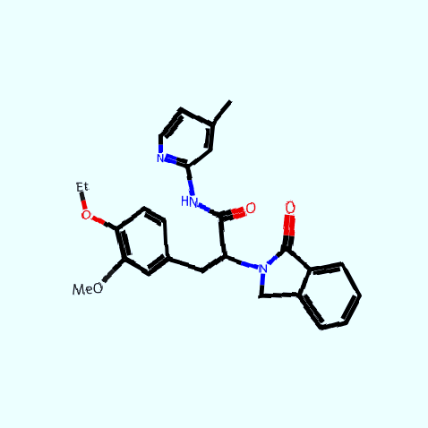 CCOc1ccc(CC(C(=O)Nc2cc(C)ccn2)N2Cc3ccccc3C2=O)cc1OC